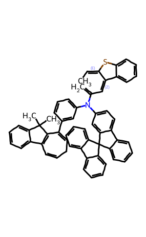 C=C(/C=c1\c(=C/C)sc2ccccc12)N(c1cccc(C2=CCC=CC3=C2C(C)(C)c2ccccc23)c1)c1ccc2c(c1)C1(c3ccccc3-c3ccccc31)c1ccccc1-2